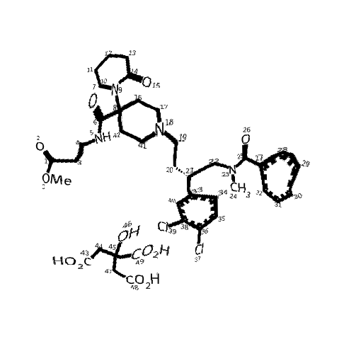 COC(=O)CCNC(=O)C1(N2CCCCC2=O)CCN(CC[C@H](CN(C)C(=O)c2ccccc2)c2ccc(Cl)c(Cl)c2)CC1.O=C(O)CC(O)(CC(=O)O)C(=O)O